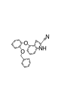 N#Cc1cc2c(Oc3ccccc3OCc3ccccc3)cccc2[nH]1